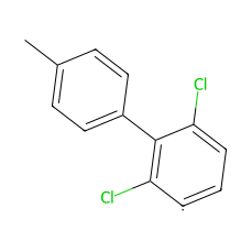 Cc1ccc(-c2c(Cl)[c]ccc2Cl)cc1